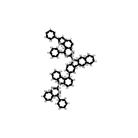 c1ccc(-c2cc3ccc4nc(-n5c6ccc(-c7cccc8c7c7ccccc7n8-c7nc(-c8ccccc8)c8ccccc8n7)cc6c6cc7ccccc7cc65)nc(-c5ccccc5)c4c3s2)cc1